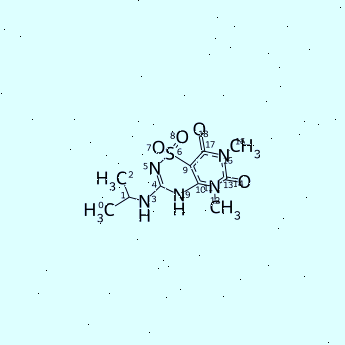 CC(C)NC1=NS(=O)(=O)c2c(n(C)c(=O)n(C)c2=O)N1